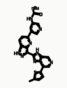 CCCCC(=O)Nc1cncc(-c2ccc3[nH]nc(-c4nc5c(-c6ccc(C)s6)cncc5[nH]4)c3n2)c1